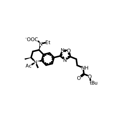 CCN(C(=O)[O-])[C@@H]1C[C@H](C)[N+](C)(C(C)=O)c2ccc(-c3noc(CCNC(=O)OC(C)(C)C)n3)cc21